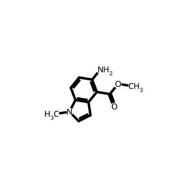 COC(=O)c1c(N)ccc2c1ccn2C